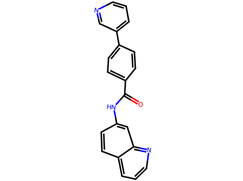 O=C(Nc1ccc2cccnc2c1)c1ccc(-c2cccnc2)cc1